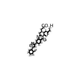 C=C(/C=C\C(F)=C/C)n1c(CCCCC(=O)O)nc2cc(-c3cc(-c4ccccc4C)on3)ccc2c1=O